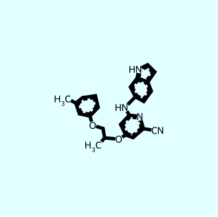 Cc1cccc(OCC(C)Oc2cc(C#N)nc(Nc3ccc4cc[nH]c4c3)c2)c1